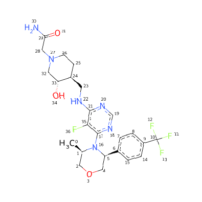 C[C@@H]1COC[C@H](c2ccc(C(F)(F)F)cc2)N1c1ncnc(NC[C@@H]2CCN(CC(N)=O)C[C@H]2O)c1F